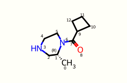 C[C@@H]1CNCCN1C(=O)C1CCC1